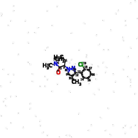 CCC(C(=O)N(C)C)n1cc(C)c(-c2ccccc2Cl)n1